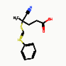 CC(C#N)(CCC(=O)O)SC=[SH]c1ccccc1